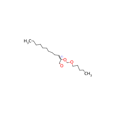 CCCCCCCCC/C=C(\C=O)OCOCCCCC